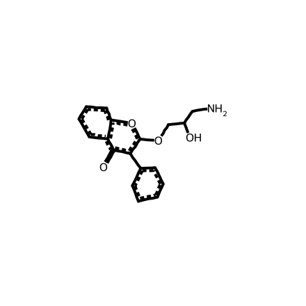 NCC(O)COc1oc2ccccc2c(=O)c1-c1ccccc1